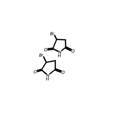 O=C1CC(Br)C(=O)N1.O=C1CC(Br)C(=O)N1